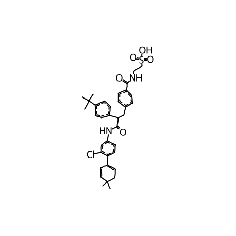 CC1(C)C=CC(c2ccc(NC(=O)C(Cc3ccc(C(=O)NCCS(=O)(=O)O)cc3)c3ccc(C(C)(C)C)cc3)cc2Cl)=CC1